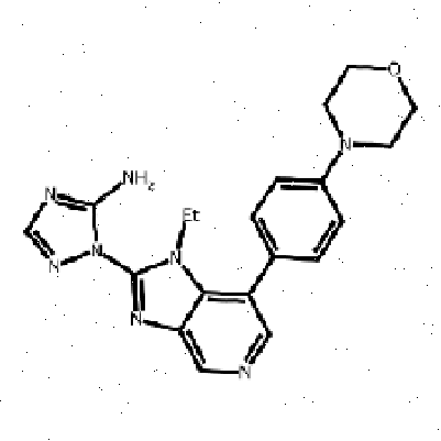 CCn1c(-n2ncnc2N)nc2cncc(-c3ccc(N4CCOCC4)cc3)c21